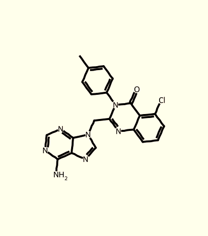 Cc1ccc(-n2c(Cn3cnc4c(N)ncnc43)nc3cccc(Cl)c3c2=O)cc1